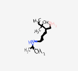 BCC(CCCNC(=C)C)C(C)(C)CC